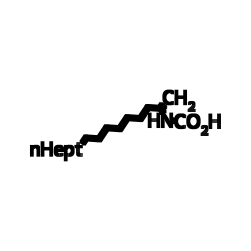 C=C(CCCCCCCCCCCCCC)NC(=O)O